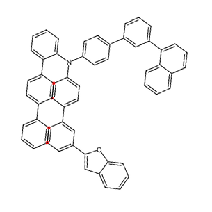 c1ccc(-c2ccc(-c3ccccc3N(c3ccc(-c4cccc(-c5cc6ccccc6o5)c4)cc3)c3ccc(-c4cccc(-c5cccc6ccccc56)c4)cc3)cc2)cc1